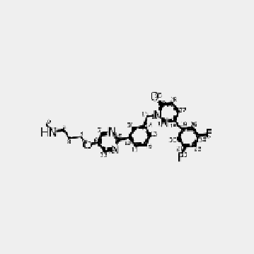 CNCCCOc1cnc(-c2cccc(Cn3nc(-c4cc(F)cc(F)c4)ccc3=O)c2)nc1